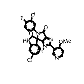 COc1ccncc1-c1nc2c(n1C(C)C)C1(C(=O)Nc3cc(Cl)ccc31)N(c1ccc(F)c(Cl)c1)C2=O